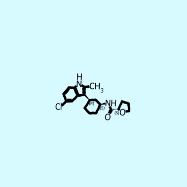 Cc1[nH]c2ccc(Cl)cc2c1[C@@H]1CCC[C@H](NC(=O)[C@@H]2CCCO2)C1